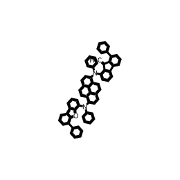 C=C1c2c(-c3ccccc3)cccc2-c2cccc(N(c3ccccc3)c3ccc4ccc5c(N(c6ccccc6)c6cccc7c6oc6c(-c8ccccc8)cccc67)ccc6ccc3c4c65)c21